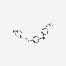 CCOc1ccc(Nc2ccc(OCCN3CCNCC3)cc2)cc1